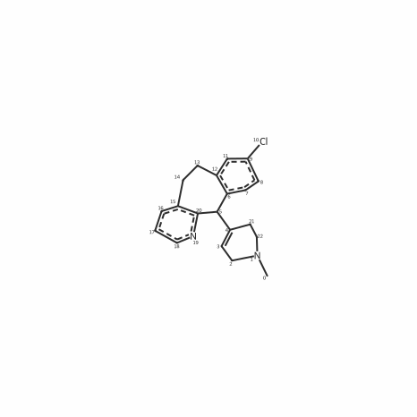 CN1CC=C(C2c3ccc(Cl)cc3CCc3cccnc32)CC1